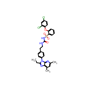 CCc1nc2c(C)cc(C)nc2n1-c1ccc(CCNC(=O)NS(=O)(=O)c2ccccc2Oc2ccc(Cl)cc2Cl)cc1